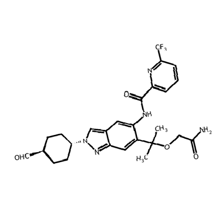 CC(C)(OCC(N)=O)c1cc2nn([C@H]3CC[C@H](C=O)CC3)cc2cc1NC(=O)c1cccc(C(F)(F)F)n1